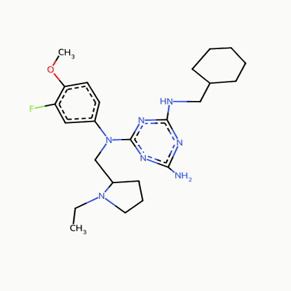 CCN1CCCC1CN(c1ccc(OC)c(F)c1)c1nc(N)nc(NCC2CCCCC2)n1